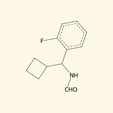 O=CNC(c1ccccc1F)C1CCC1